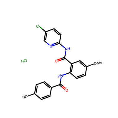 COc1ccc(NC(=O)c2ccc(C#N)cc2)c(C(=O)Nc2ccc(Cl)cn2)c1.Cl